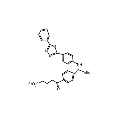 CCCCC(Nc1ccc(-c2nnc(-c3ccccc3)o2)cc1)c1ccc(C(=O)CCCC(=O)OCC)cc1